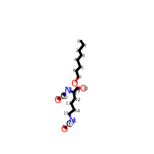 CCCCCCCCOC(=O)C(CCCCN=C=O)N=C=O